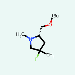 CN1CC(C)(F)C[C@H]1COC(C)(C)C